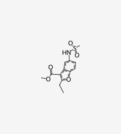 CCc1oc2ccc(NS(C)(=O)=O)cc2c1C(=O)OC